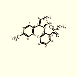 Cc1ccc(-c2c[nH]nc2-c2ccccc2S(N)(=O)=O)cc1